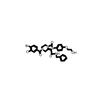 O=C(NCc1ccccc1)c1c2n(c(=O)n1-c1ccc(OCCO)cc1)CCN(C(=O)c1ccc(Br)c(Cl)c1)C2